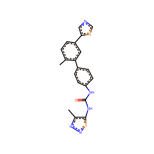 Cc1ccc(-c2cncs2)cc1-c1ccc(NC(=O)Nc2snnc2C)cc1